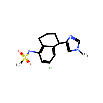 Cl.Cn1cnc(C2CCCc3c(NS(C)(=O)=O)cccc32)c1